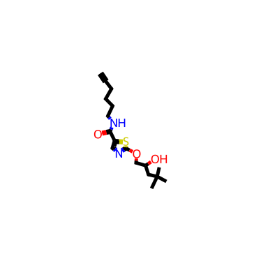 C#CCCCCNC(=O)c1cnc(OCC(O)CC(C)(C)C)s1